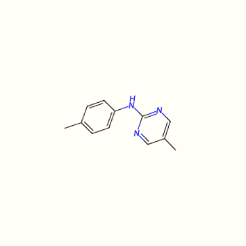 Cc1ccc(Nc2ncc(C)cn2)cc1